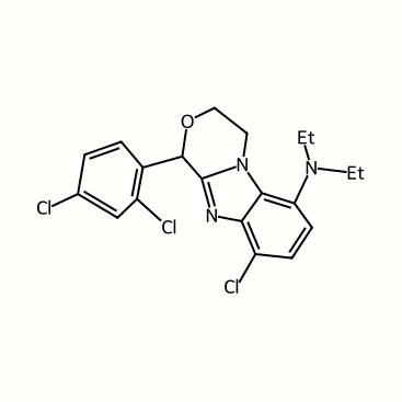 CCN(CC)c1ccc(Cl)c2nc3n(c12)CCOC3c1ccc(Cl)cc1Cl